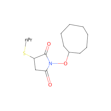 CCCSC1CC(=O)N(OC2CCCCCCC2)C1=O